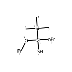 CCC[Si](S)(OC(C)C)[Si](C)(C)C